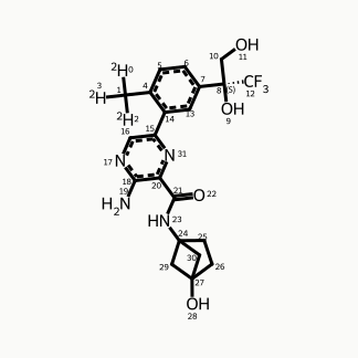 [2H]C([2H])([2H])c1ccc([C@](O)(CO)C(F)(F)F)cc1-c1cnc(N)c(C(=O)NC23CCC(O)(C2)C3)n1